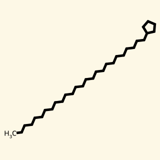 CCCCCCCCCCCCCCCCCCCCCCCCCCC1CCCC1